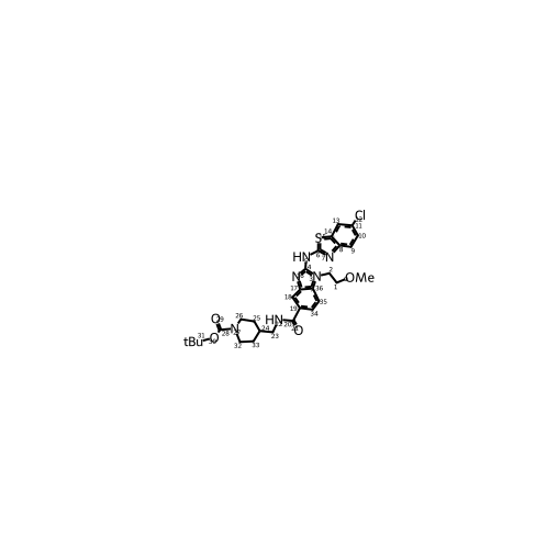 COCCn1c(Nc2nc3ccc(Cl)cc3s2)nc2cc(C(=O)NCC3CCN(C(=O)OC(C)(C)C)CC3)ccc21